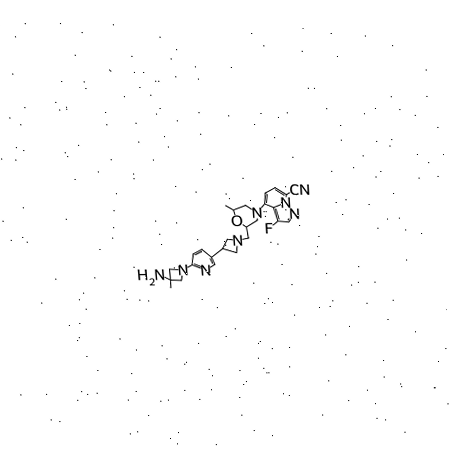 CC1CN(c2ccc(C#N)n3ncc(F)c23)CC(CN2CC(c3ccc(N4CC(C)(N)C4)nc3)C2)O1